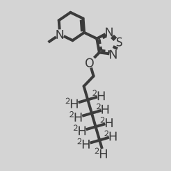 [2H]C([2H])([2H])C([2H])([2H])C([2H])([2H])C([2H])([2H])CCOc1nsnc1C1=CCCN(C)C1